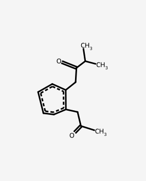 CC(=O)Cc1ccccc1CC(=O)C(C)C